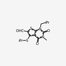 CC(C)Cn1c(=O)n(C)c(=O)c2c(SC(C)C)c(C=O)sc21